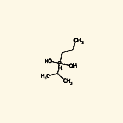 CCC[PH](O)(O)C(C)C